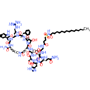 CCCCCCCCCCCCCCCC(=O)NS(=O)(=O)CCCC(=O)NCC(=O)N[C@@H](CO)C(=O)N[C@H](CCC(N)=O)C(=O)N[C@@H](Cc1c[nH]cn1)C(=O)N[C@@H](CO)C(=O)N[C@@H](C)C(=O)N[C@H]1CCC(=O)NCCCC[C@@H](C(N)=O)NC(=O)[C@H](Cc2c[nH]c3ccccc23)NC(=O)[C@H](CCCNC(=N)N)NC(=O)[C@@H](Cc2ccccc2)NC(=O)[C@@H]2C[C@@H](O)CN2C1=O